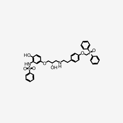 O=P(COc1ccc(CCNC[C@H](O)COc2ccc(O)c(NS(=O)(=O)c3ccccc3)c2)cc1)(c1ccccc1)c1ccccc1